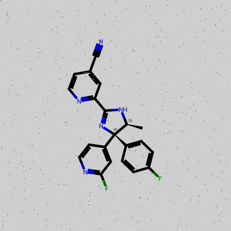 C[C@@H]1NC(c2cc(C#N)ccn2)=N[C@@]1(c1ccc(F)cc1)c1ccnc(F)c1